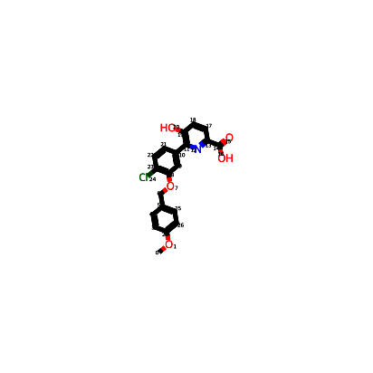 COc1ccc(COc2cc(-c3nc(C(=O)O)ccc3O)ccc2Cl)cc1